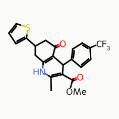 COC(=O)C1=C(C)NC2=C(C(=O)CC(c3cccs3)C2)C1c1ccc(C(F)(F)F)cc1